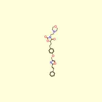 O=C1OC(CCc2ccc(OCc3coc(/C=C/c4ccccc4)n3)cc2)C(=O)N1CCN1CCOCC1